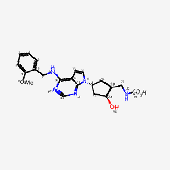 COc1ccccc1CNc1ncnc2c1ccn2[C@@H]1C[C@@H](CNS(=O)(=O)O)[C@@H](O)C1